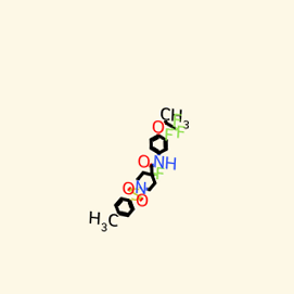 Cc1ccc(S(=O)(=O)N2CCC(F)(C(=O)Nc3ccc(OC(C)C(F)(F)F)cc3)CC2)cc1